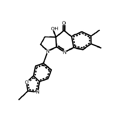 Cc1nc2ccc(N3CCC4(O)C(=O)c5cc(C)c(C)cc5N=C34)cc2o1